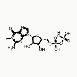 Cn1c(N)nc2c(ncn2[C@@H]2O[C@H](COP(=O)(O)OP(=O)(O)O)[C@@H](O)[C@H]2O)c1=O